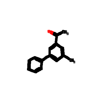 CC(=O)c1cc(C)cc(-c2ccccc2)c1